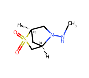 CNN1C[C@H]2C[C@@H]1CS2(=O)=O